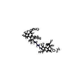 CCCC[N+]1=C(/C=C/C=C/C=C2/N(CCC)c3cc(C(=O)O)c4c(c3C2(C)C)N=C(C)C4(C)C)C(C)(C)c2c1cc(OC=O)c1c2N=C(C)C1(C)C